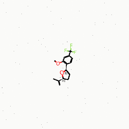 COc1cc(C(F)(F)F)ccc1[C@H]1CC[C@@H](C(C)C)O1